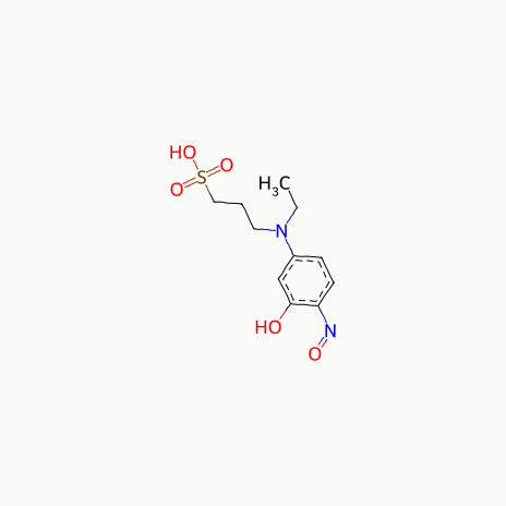 CCN(CCCS(=O)(=O)O)c1ccc(N=O)c(O)c1